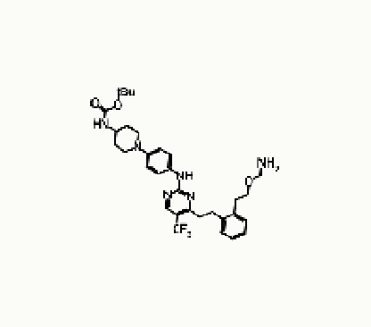 CC(C)(C)OC(=O)NC1CCN(c2ccc(Nc3ncc(C(F)(F)F)c(CCc4ccccc4CCOCN)n3)cc2)CC1